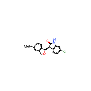 CNc1ccc2c(c1)COC2=C1C(=O)Nc2cc(Cl)ccc21